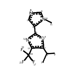 CC(C)c1oc(-c2cncn2C)nc1C(F)(F)F